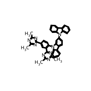 Cc1nc(C)nc(-c2ccc(-n3c4ccccc4c4ccc(-n5c6ccccc6c6ccccc65)cc43)c(-c3nc(C)nc(C)n3)c2)n1